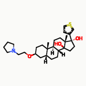 C[C@]12CC[C@H](OCCN3CCCC3)C[C@H]1CC[C@@H]1[C@@H]2CC[C@]2(C)[C@@](O)(c3ccsc3)CC[C@]12O